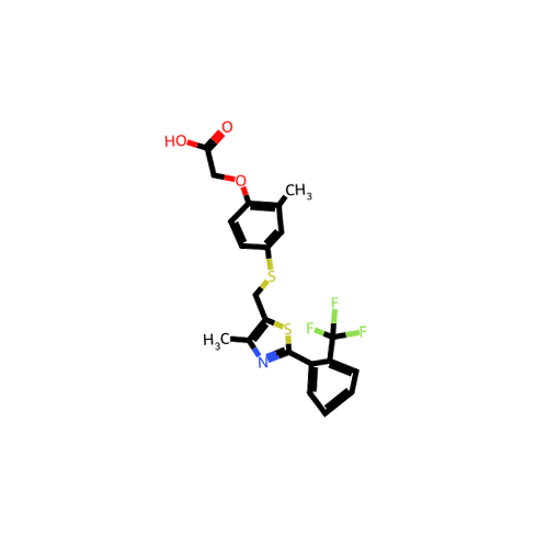 Cc1cc(SCc2sc(-c3ccccc3C(F)(F)F)nc2C)ccc1OCC(=O)O